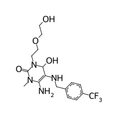 CN1C(=O)N(CCOCCO)C(O)C(NCc2ccc(C(F)(F)F)cc2)=C1N